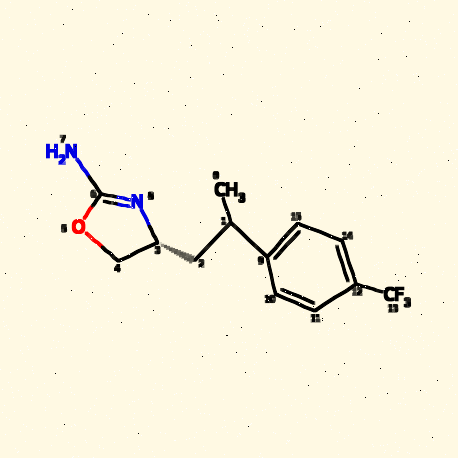 CC(C[C@@H]1COC(N)=N1)c1ccc(C(F)(F)F)cc1